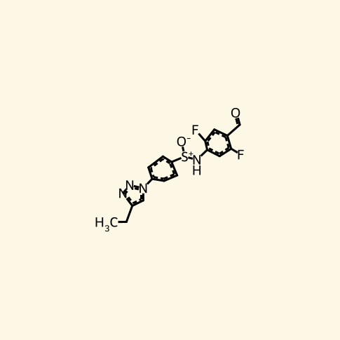 CCc1cn(-c2ccc([S+]([O-])Nc3cc(F)c(C=O)cc3F)cc2)nn1